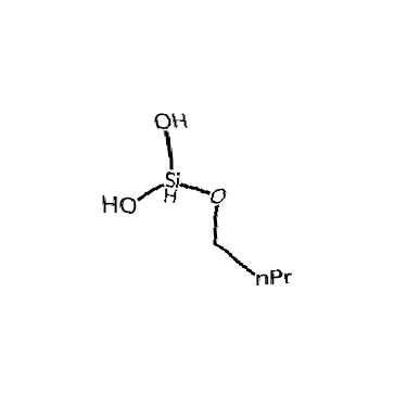 CCCCO[SiH](O)O